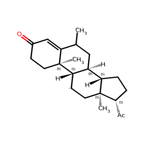 CC(=O)[C@H]1CC[C@H]2[C@@H]3CC(C)C4=CC(=O)CC[C@]4(C)[C@H]3[CH]C[C@]12C